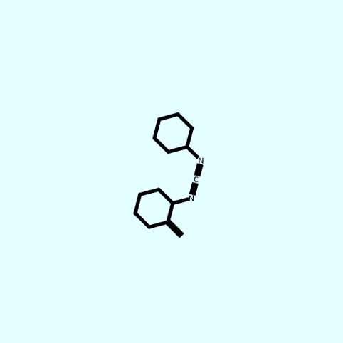 C=C1CCCCC1N=C=NC1CCCCC1